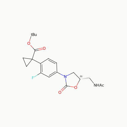 CC(=O)NC[C@H]1CN(c2ccc(C3(C(=O)OC(C)(C)C)CC3)c(F)c2)C(=O)O1